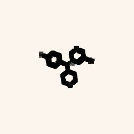 Fc1ccc(C(C2CCOCC2)[C@H]2C=C(Br)C=NC2)cc1